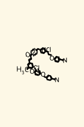 Cc1cc(C=CC(=O)N2CCN(Cc3ccc(C=CCOc4ccc(C#N)cc4)cc3)CC2)cc(Cl)c1Oc1ccc(OCc2ccc(C#N)cc2)cn1.Cl